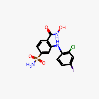 NS(=O)(=O)c1ccc(C(=O)NO)c(Nc2ccc(I)cc2Cl)c1